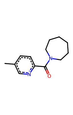 Cc1ccc(C(=O)N2CCCCCC2)nc1